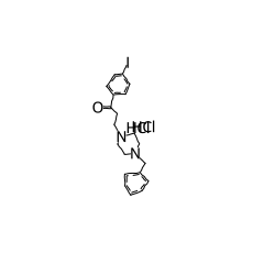 Cl.Cl.O=C(CCN1CCN(Cc2ccccc2)CC1)c1ccc(I)cc1